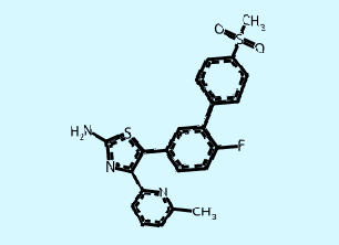 Cc1cccc(-c2nc(N)sc2-c2ccc(F)c(-c3ccc(S(C)(=O)=O)cc3)c2)n1